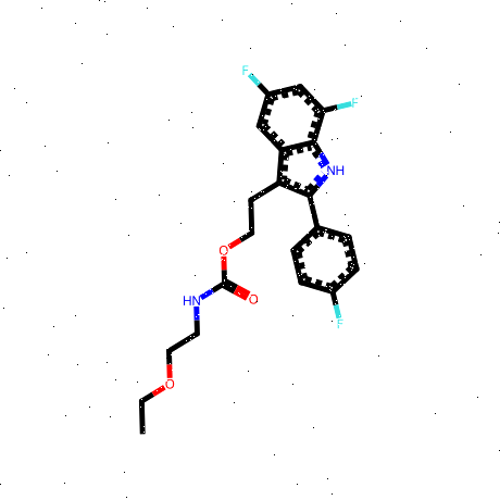 CCOCCNC(=O)OCCc1c(-c2ccc(F)cc2)[nH]c2c(F)cc(F)cc12